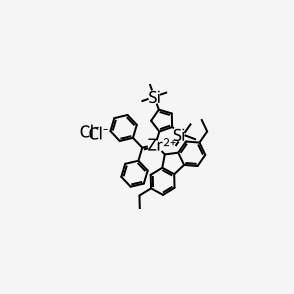 CCc1ccc2c(c1)[CH]([Zr+2]([C]1=C([Si](C)(C)C)C=C([Si](C)(C)C)C1)=[C](c1ccccc1)c1ccccc1)c1cc(CC)ccc1-2.[Cl-].[Cl-]